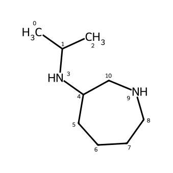 CC(C)NC1CCCCNC1